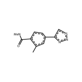 CNC(=O)c1ccc(-c2csnn2)cc1C